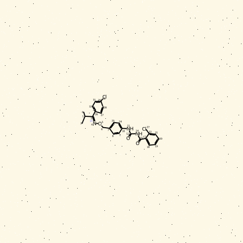 CC(C)/C(=N/OCc1ccc(NC(=O)NC(=O)c2ccccc2Cl)cc1)c1ccc(Cl)cc1